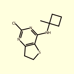 CC1(Nc2nc(Cl)nc3c2SCC3)CCC1